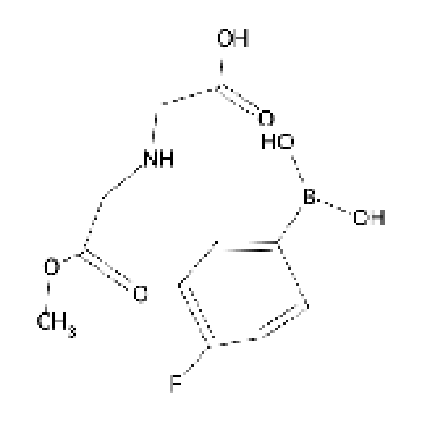 COC(=O)CNCC(=O)O.OB(O)c1ccc(F)cc1